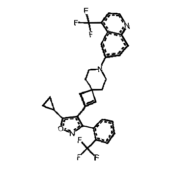 FC(F)(F)c1ccccc1-c1noc(C2CC2)c1C1=CC2(CCN(c3ccc4nccc(C(F)(F)F)c4c3)CC2)C1